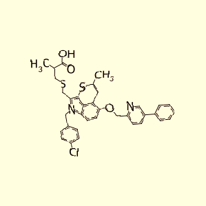 CC1Cc2c(OCc3ccc(-c4ccccc4)cn3)ccc3c2c(c(CSCC(C)C(=O)O)n3Cc2ccc(Cl)cc2)S1